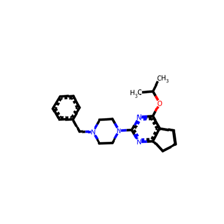 CC(C)Oc1nc(N2CCN(Cc3ccccc3)CC2)nc2c1CCC2